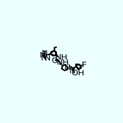 CCc1cc(NC(=O)NC[C@@H]2CCCN(CC(=NO)c3ccc(F)cc3)C2)cc(-c2nnnn2C)c1